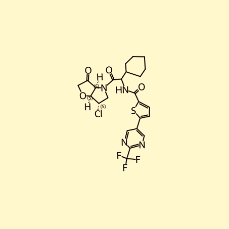 O=C(NC(C(=O)N1C[C@H](Cl)[C@H]2OCC(=O)[C@H]21)C1CCCCC1)c1ccc(-c2cnc(C(F)(F)F)nc2)s1